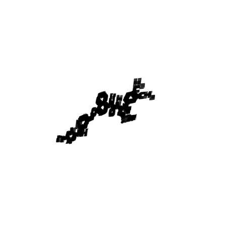 CCc1cnc(Nc2cc(COc3ccc(NC(=O)Nc4cc(C(C)(C)C)nn4-c4ccc(C)c(C)c4)c4ccccc34)ccn2)cn1